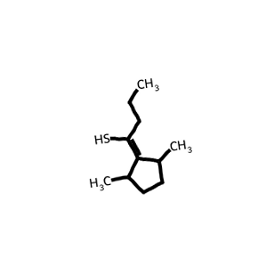 CCCC(S)=C1C(C)CCC1C